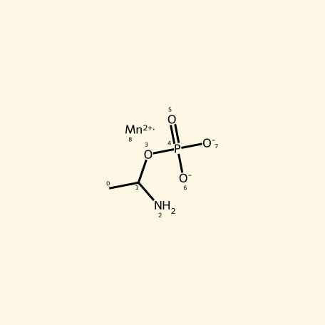 CC(N)OP(=O)([O-])[O-].[Mn+2]